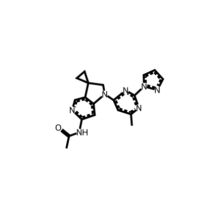 CC(=O)Nc1cc2c(cn1)C1(CC1)CN2c1cc(C)nc(-n2cccn2)n1